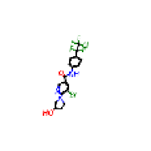 O=C(Nc1ccc(C(F)(F)C(F)(F)Cl)cc1)c1cnc(N2CCC(O)C2)c(Br)c1